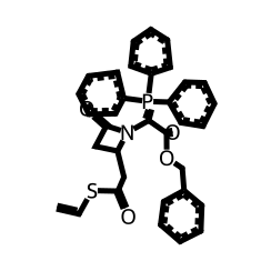 C=CSC(=O)CC1CC(=O)N1C(C(=O)OCc1ccccc1)=P(c1ccccc1)(c1ccccc1)c1ccccc1